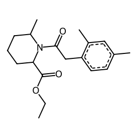 CCOC(=O)C1CCCC(C)N1C(=O)Cc1ccc(C)cc1C